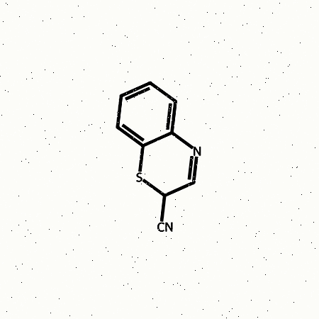 N#CC1C=Nc2ccccc2S1